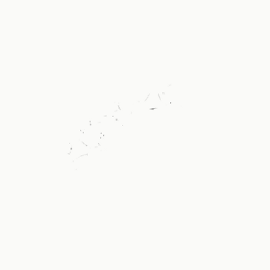 O=C1Nc2ccc(Br)cc2C(=O)N2CCN(C(=O)COc3ccc(C(F)(F)F)c(F)c3)CC12